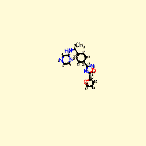 C[C@@H](Nc1cnccn1)c1ccc(-c2noc(-c3ccco3)n2)cc1